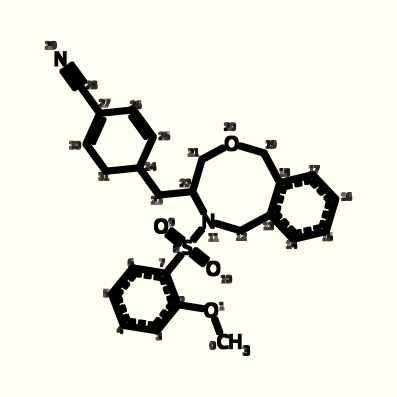 COc1ccccc1S(=O)(=O)N1Cc2ccccc2COCC1CC1C=CC(C#N)=CC1